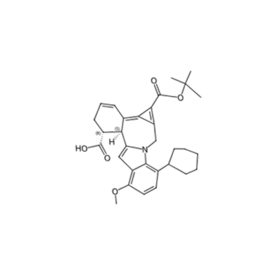 COc1ccc(C2CCCCC2)c2c1cc1n2CC2=C(C(=O)OC(C)(C)C)C2=C2C=CC[C@@H](C(=O)O)[C@@H]21